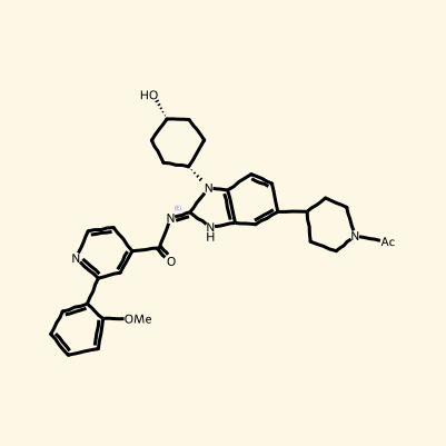 COc1ccccc1-c1cc(C(=O)/N=c2\[nH]c3cc(C4CCN(C(C)=O)CC4)ccc3n2[C@H]2CC[C@@H](O)CC2)ccn1